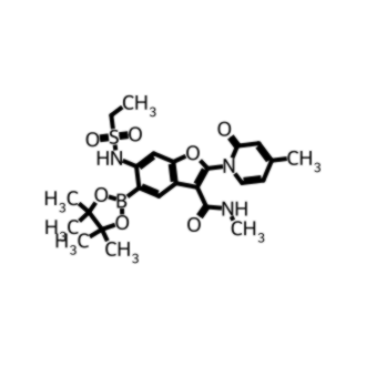 CCS(=O)(=O)Nc1cc2oc(-n3ccc(C)cc3=O)c(C(=O)NC)c2cc1B1OC(C)(C)C(C)(C)O1